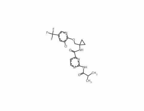 CC(C)C(=O)Nc1nccc(C(=O)NC2(COc3ncc(C(F)(F)F)cc3Cl)CC2)n1